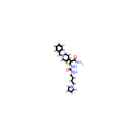 NC(=O)c1c(NC(=O)NCCCCN2CCCC2)sc2c1CCN(Cc1ccccc1)C2